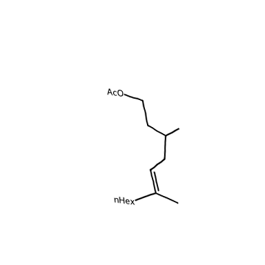 CCCCCCC(C)=CCC(C)CCOC(C)=O